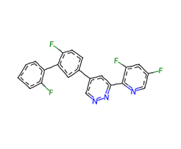 Fc1cnc(-c2cc(-c3ccc(F)c(-c4ccccc4F)c3)cnn2)c(F)c1